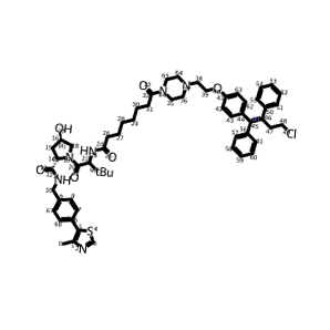 Cc1ncsc1-c1ccc(CNC(=O)[C@@H]2C[C@@H](O)CN2C(=O)C(NC(=O)CCCCCCC(=O)N2CCN(CCOc3ccc(/C(=C(/CCCl)c4ccccc4)c4ccccc4)cc3)CC2)C(C)(C)C)cc1